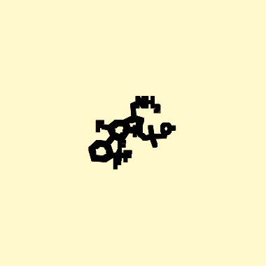 COCC(C)(C)Cn1cc(CN)c2cc(F)c(-c3ccccc3C(F)(F)F)cc21